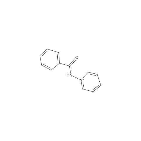 O=C(N[n+]1ccccc1)c1ccccc1